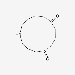 O=C1CCCCNCCCC(=O)CCC1